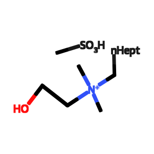 CCCCCCCC[N+](C)(C)CCO.CS(=O)(=O)O